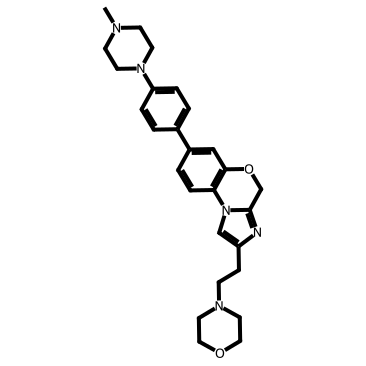 CN1CCN(c2ccc(-c3ccc4c(c3)OCc3nc(CCN5CCOCC5)cn3-4)cc2)CC1